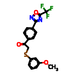 COc1cccc(SCC(=O)c2ccc(-c3noc(C(F)(F)F)n3)cc2)c1